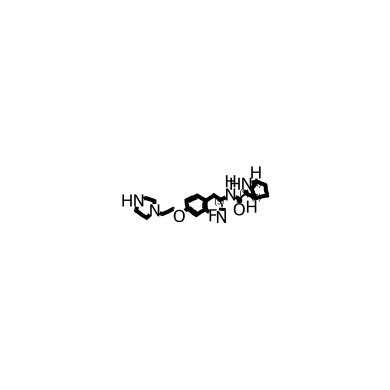 N#C[C@H](Cc1ccc(OCCN2CCNCC2)cc1F)NC(=O)[C@H]1N[C@@H]2CC[C@H]1C2